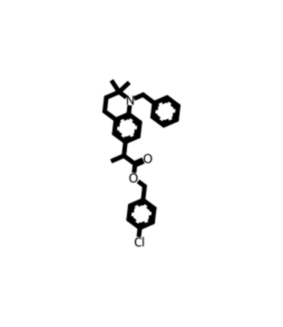 CC(C(=O)OCc1ccc(Cl)cc1)c1ccc2c(c1)CCC(C)(C)N2Cc1ccccc1